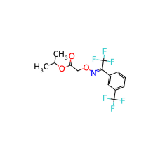 CC(C)OC(=O)CON=C(c1cccc(C(F)(F)F)c1)C(F)(F)F